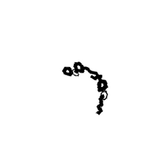 CCCCCOc1ccc(C(C)(CC)CCCc2cccc(Oc3ccccc3)c2)cc1